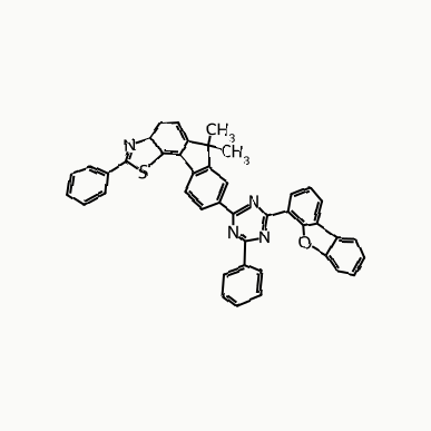 CC1(C)C2=CCC3N=C(c4ccccc4)SC3=C2c2ccc(-c3nc(-c4ccccc4)nc(-c4cccc5c4oc4ccccc45)n3)cc21